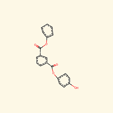 O=C(Oc1ccccc1)c1cccc(C(=O)Oc2ccc(O)cc2)c1